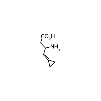 NC(C=C1CC1)CC(=O)O